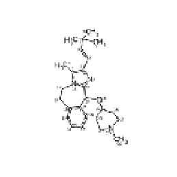 Cc1c(/C=C/C(C)(C)C)nc2n1CCc1ccccc1C2OC1CCN(C)CC1